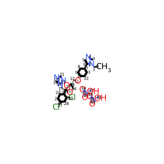 CCn1cncc1-c1ccc(OC[C@@H]2CO[C@@](Cn3cncn3)(c3ccc(Cl)cc3Cl)O2)cc1.O=[N+]([O-])O.O=[N+]([O-])O